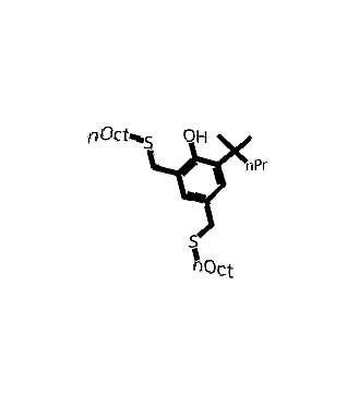 CCCCCCCCSCc1cc(CSCCCCCCCC)c(O)c(C(C)(C)CCC)c1